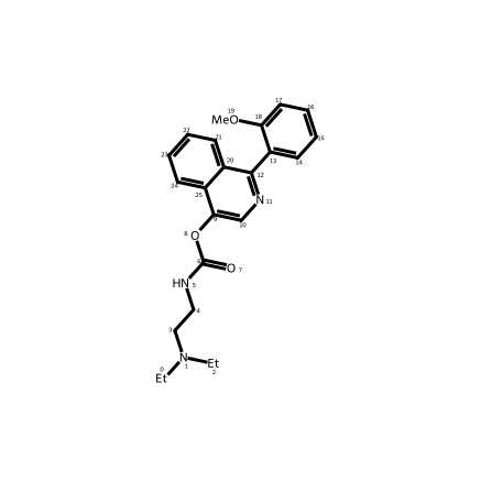 CCN(CC)CCNC(=O)Oc1cnc(-c2ccccc2OC)c2ccccc12